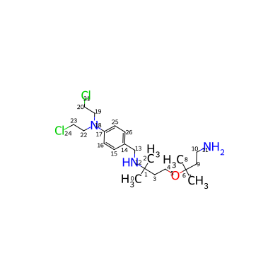 CC(C)(CCOC(C)(C)CCN)NCc1ccc(N(CCCl)CCCl)cc1